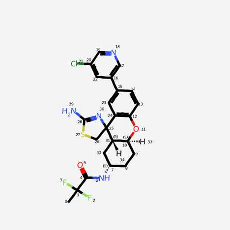 CC(F)(F)C(=O)N[C@H]1CC[C@@H]2Oc3ccc(-c4cncc(Cl)c4)cc3C3(CSC(N)=N3)[C@H]2C1